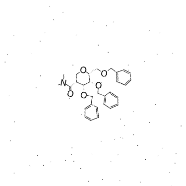 CN(C)C(=O)[C@@H]1CO[C@H](COCc2ccccc2)[C@H](OCc2ccccc2)[C@@H]1OCc1ccccc1